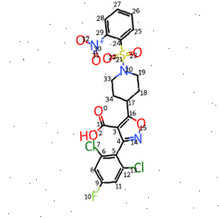 O=C(O)c1c(-c2c(Cl)cc(F)cc2Cl)noc1C1CCN(S(=O)(=O)c2ccccc2[N+](=O)[O-])CC1